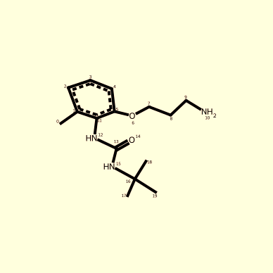 Cc1cccc(OCCCN)c1NC(=O)NC(C)(C)C